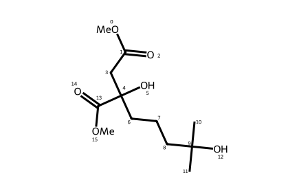 COC(=O)CC(O)(CCCC(C)(C)O)C(=O)OC